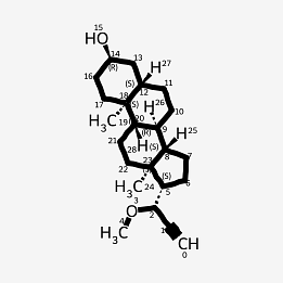 C#CC(OC)[C@H]1CC[C@H]2[C@@H]3CC[C@H]4C[C@H](O)CC[C@]4(C)[C@H]3CC[C@]12C